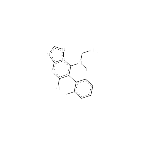 CCN(CC(F)(F)F)c1c(-c2ccccc2F)c(Cl)nc2ncnn12